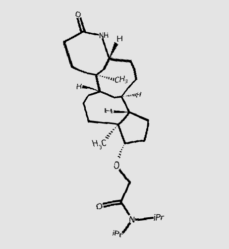 CC(C)N(C(=O)CO[C@H]1CC[C@H]2[C@@H]3CC[C@H]4NC(=O)CC[C@]4(C)[C@H]3CC[C@]12C)C(C)C